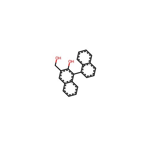 OCc1cc2ccccc2c(-c2cccc3ccccc23)c1O